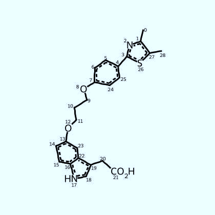 Cc1nc(-c2ccc(OCCCOc3ccc4[nH]cc(CC(=O)O)c4c3)cc2)sc1C